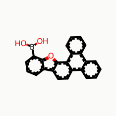 OB(O)c1cccc2c1oc1c2ccc2c3ccccc3c3ccccc3c21